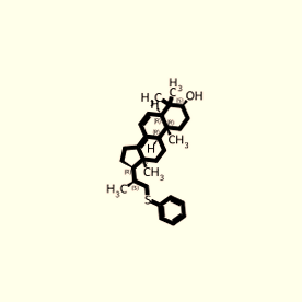 C[C@H](CSc1ccccc1)[C@H]1CCC2=C3C=C[C@H]4C(C)(C)[C@@H](O)CC[C@]4(C)[C@H]3CC[C@@]21C